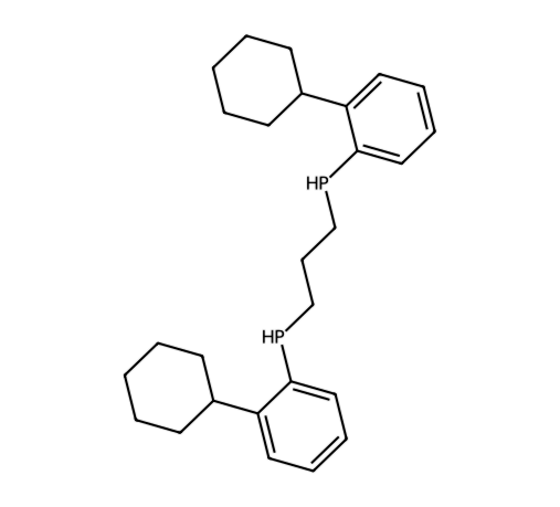 c1ccc(C2CCCCC2)c(PCCCPc2ccccc2C2CCCCC2)c1